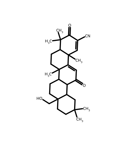 CC1(C)CCC2(CO)CCC3C(C(=O)C=C4C5(C)C=C(C#N)C(=O)C(C)(C)C5CCC43C)C2C1